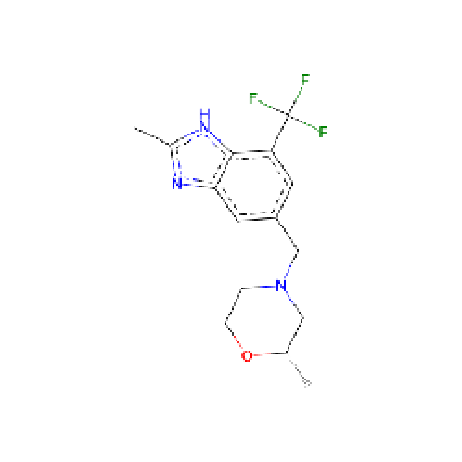 Cc1nc2cc(CN3CCO[C@@H](C)C3)cc(C(F)(F)F)c2[nH]1